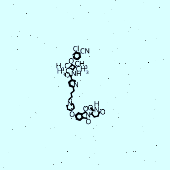 CC1(C)[C@H](NC(=O)c2ccc(CCCCN3CCC(Oc4ccc5c(c4)C(=O)N(C4CCC(=O)NC4=O)C5=O)CC3)nc2)C(C)(C)[C@H]1Oc1ccc(C#N)c(Cl)c1